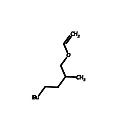 C=COCC(C)CCC(C)CC